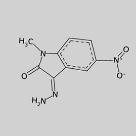 CN1C(=O)C(=NN)c2cc([N+](=O)[O-])ccc21